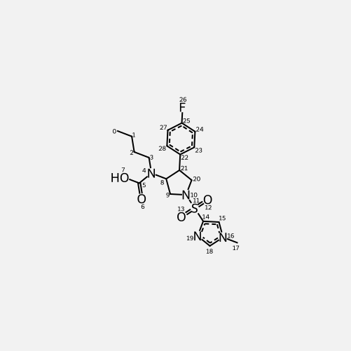 CCCCN(C(=O)O)C1CN(S(=O)(=O)c2cn(C)cn2)CC1c1ccc(F)cc1